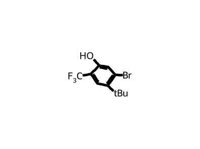 CC(C)(C)c1cc(C(F)(F)F)c(O)cc1Br